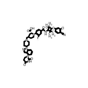 CC1(C)C(NC(=O)c2ccc(N3CCC(CN4CCC(n5ncc6c(N7CCC(=O)NC7=O)cccc65)CC4)CC3)c(F)c2)C(C)(C)C1Oc1ccc(C#N)c(Cl)c1.O=CO